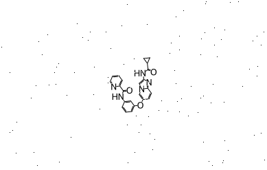 O=C(Nc1cccc(Oc2ccc3nc(NC(=O)C4CC4)cn3c2)c1)c1ccccn1